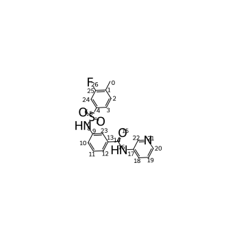 Cc1ccc(S(=O)(=O)Nc2cccc(C(=O)Nc3cccnc3)c2)cc1F